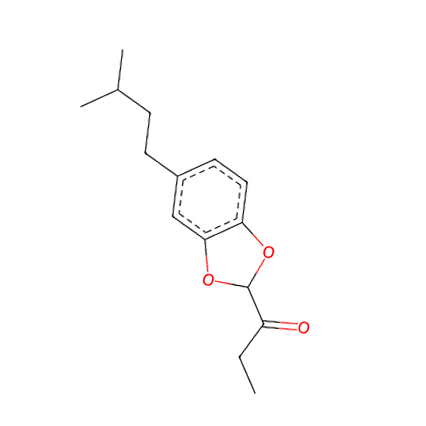 CCC(=O)C1Oc2ccc(CCC(C)C)cc2O1